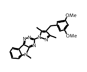 COc1cc(Cc2c(C)nn(-c3nnc4c5ccccc5n(C)c4n3)c2C)cc(OC)c1